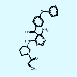 C=CC(=O)N1CCC[C@@H](Nc2ncnc(N)c2C(=N)c2ccc(Oc3ccccc3)cc2)C1